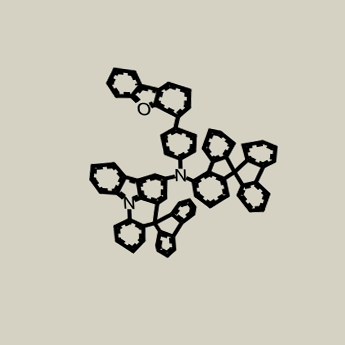 c1ccc2c(c1)-c1ccccc1C21c2ccccc2-c2c(N(c3ccc(-c4cccc5c4oc4ccccc45)cc3)c3cc4c5c(c3)c3ccccc3n5-c3ccccc3C43c4ccccc4-c4ccccc43)cccc21